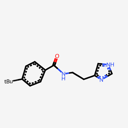 CC(C)(C)c1ccc(C(=O)NCCc2c[nH]cn2)cc1